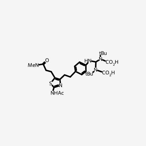 CNC(=O)CCc1sc(NC(C)=O)nc1CCc1ccc(NC(N(C(=O)O)C(C)(C)C)N(C(=O)O)C(C)(C)C)cc1